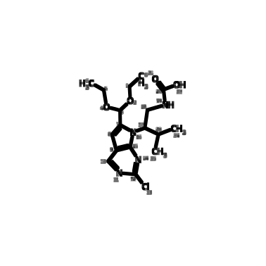 CCOC(OCC)c1cc2cnc(Cl)nc2n1C(CNC(=O)O)C(C)C